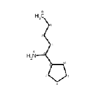 CCCCC(N)C1CCCC1